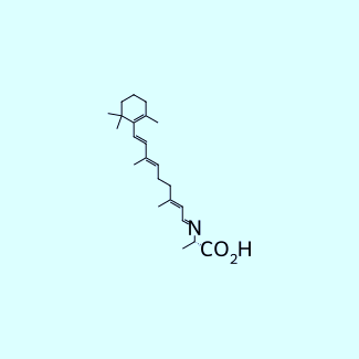 CC1=C(/C=C/C(C)=C/CC/C(C)=C/C=N[C@@H](C)C(=O)O)C(C)(C)CCC1